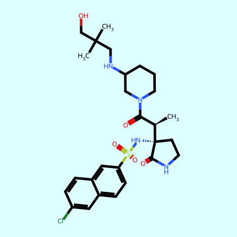 C[C@H](C(=O)N1CCCC(NCC(C)(C)CO)C1)[C@@]1(NS(=O)(=O)c2ccc3cc(Cl)ccc3c2)CCNC1=O